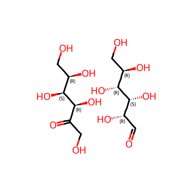 O=C(CO)[C@H](O)[C@@H](O)[C@H](O)CO.O=C[C@H](O)[C@@H](O)[C@H](O)[C@H](O)CO